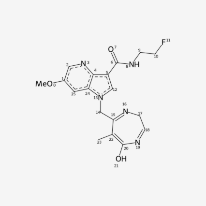 COc1cnc2c(C(=O)NCCF)cn(CC3=NCC=NC(O)=C3C)c2c1